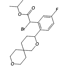 CC(C)OC(=O)C(Br)c1cc(F)ccc1C1CCC2(CCOCC2)CO1